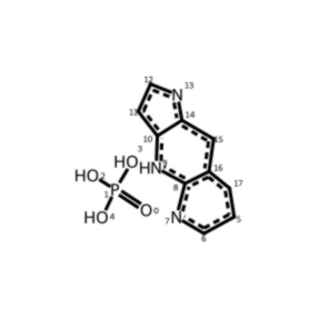 O=P(O)(O)O.c1cnc2[nH]c3ccnc-3cc2c1